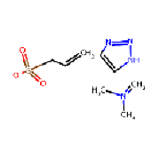 C=CCS(=O)(=O)[O-].C=[N+](C)C.c1c[nH]nn1